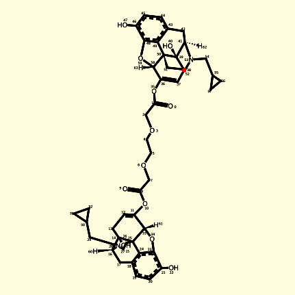 O=C(COCCOCC(=O)OC1=CC[C@@]2(O)[C@H]3Cc4ccc(O)c5c4[C@@]2(CCN3CC2CC2)[C@H]1O5)OC1=CC[C@@]2(O)[C@H]3Cc4ccc(O)c5c4[C@@]2(CCN3CC2CC2)[C@H]1O5